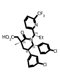 CC[C@@H](c1cccc(C(F)(F)F)n1)N1C(=O)[C@](C)(CC(=O)O)C[C@H](c2cccc(Cl)c2)[C@H]1c1ccc(Cl)cc1